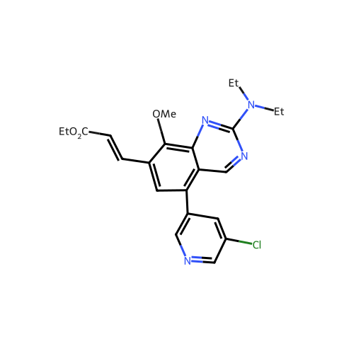 CCOC(=O)C=Cc1cc(-c2cncc(Cl)c2)c2cnc(N(CC)CC)nc2c1OC